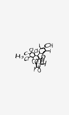 Cc1c(Cl)c(Cl)c(-c2c3cc(I)c(=O)c(I)c-3oc3c(I)c(O)c(I)cc23)c(C(=O)O)c1Cl